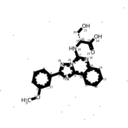 COc1cccc(-c2nc3c4ccccc4nc(N[C@H](CO)C(=O)O)n3n2)c1